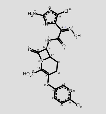 Nc1nc(/C(=N/O)C(=O)N[C@@H]2C(=O)N3C(C(=O)O)=C(Sc4ccc(Cl)nc4)CCC23)c(Cl)s1